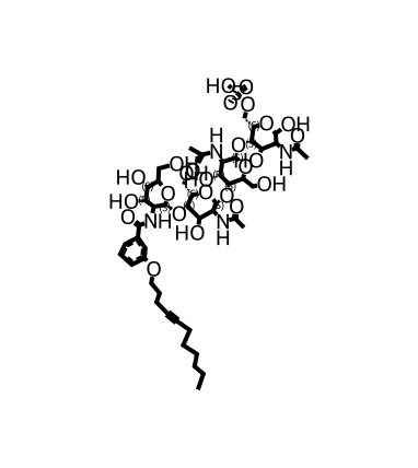 CCCCCCC#CCCCOc1cccc(C(=O)NC2[C@H](O[C@H]3C(O)C(NC(C)=O)[C@H](O[C@@H]4C(CO)O[C@@H](O[C@H]5C(O)C(NC(C)=O)C(O)O[C@H]5COS(=O)(=O)O)C(NC(C)=O)[C@H]4O)O[C@H]3CO)OC(CO)[C@@H](O)[C@@H]2O)c1